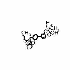 CCCCC1=NC2(CCCCC2)C(=O)N1Cc1ccc(-c2cccc(OC(C(=O)O)C(C)C)c2)cc1